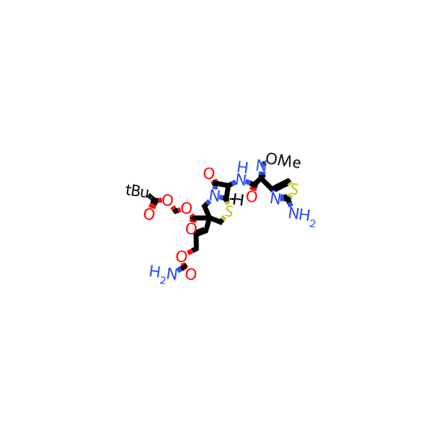 CON=C(C(=O)NC1C(=O)N2CC(C=CCOC(N)=O)(C(=O)OCOC(=O)C(C)(C)C)CS[C@H]12)c1csc(N)n1